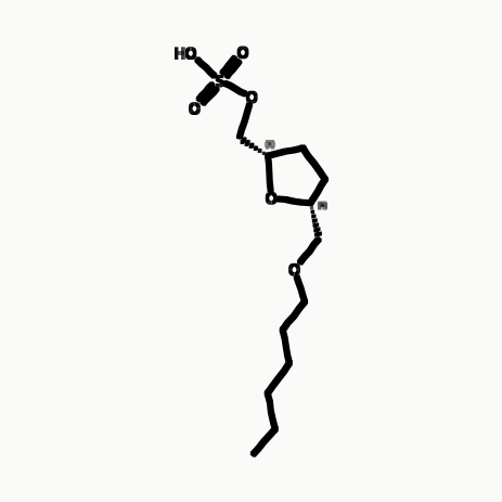 CCCCCCOC[C@H]1CC[C@@H](COS(=O)(=O)O)O1